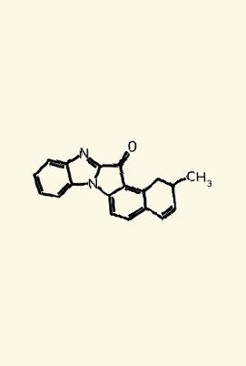 CC1C=Cc2ccc3c(c2C1)C(=O)c1nc2ccccc2n1-3